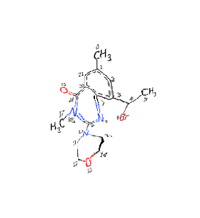 Cc1cc(C(C)Br)c2nc(N3CCOCC3)n(C)c(=O)c2c1